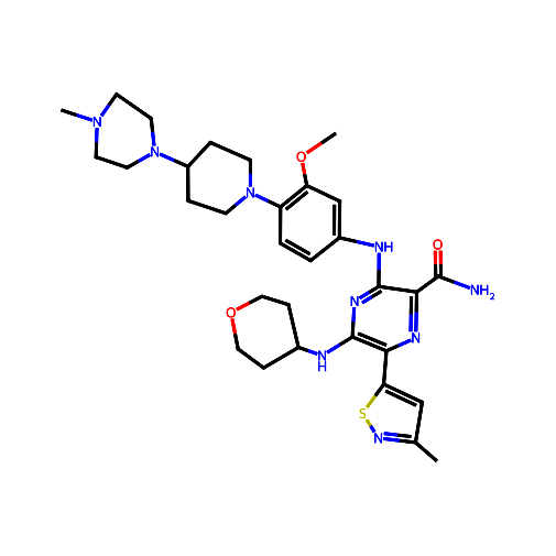 COc1cc(Nc2nc(NC3CCOCC3)c(-c3cc(C)ns3)nc2C(N)=O)ccc1N1CCC(N2CCN(C)CC2)CC1